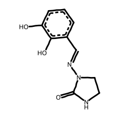 O=C1NCCN1N=Cc1cccc(O)c1O